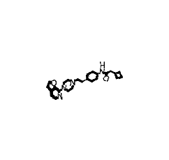 O=C(CC1CCC1)N[C@H]1CC[C@H](CCN2CCN(c3nccc4ccoc34)CC2)CC1